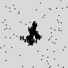 Cc1cc(-c2cnc3c(NCC4CCSCC4)cc(Sc4cccc(F)c4)nn23)ccc1C(=O)NC1CC1